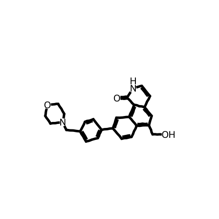 O=c1[nH]ccc2cc(CO)c3ccc(-c4ccc(CN5CCOCC5)cc4)cc3c12